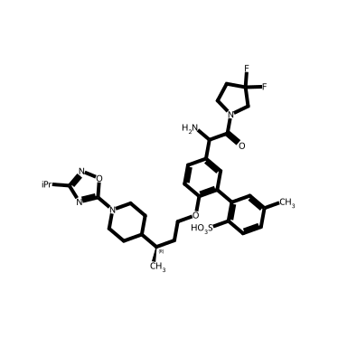 Cc1ccc(S(=O)(=O)O)c(-c2cc(C(N)C(=O)N3CCC(F)(F)C3)ccc2OCC[C@@H](C)C2CCN(c3nc(C(C)C)no3)CC2)c1